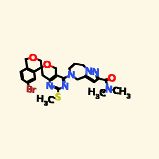 CSc1nc2c(c(N3CCCn4nc(C(=O)N(C)C)cc4C3)n1)COC1(COCc3ccc(Br)cc31)C2